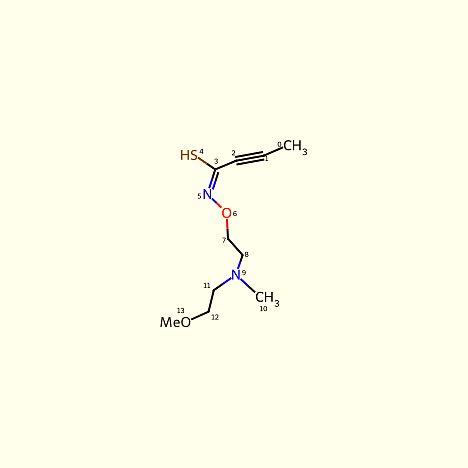 CC#C/C(S)=N\OCCN(C)CCOC